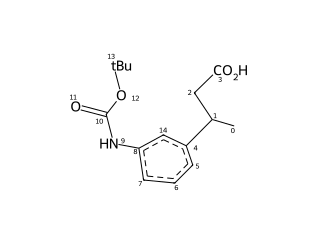 CC(CC(=O)O)c1cccc(NC(=O)OC(C)(C)C)c1